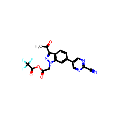 CC(=O)c1nn(CC(=O)OC(=O)C(F)(F)F)c2cc(-c3cnc(C#N)nc3)ccc12